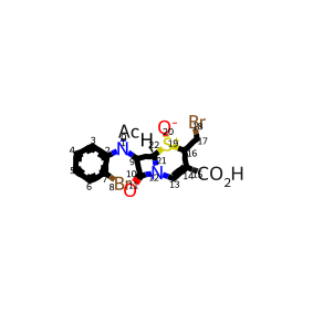 CC(=O)N(c1ccccc1Br)C1C(=O)N2C=C(C(=O)O)C(CBr)[S+]([O-])[C@H]12